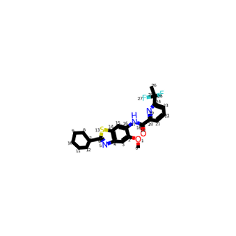 COc1cc2nc(C3CCCCC3)sc2cc1NC(=O)c1cccc(C(C)(F)F)n1